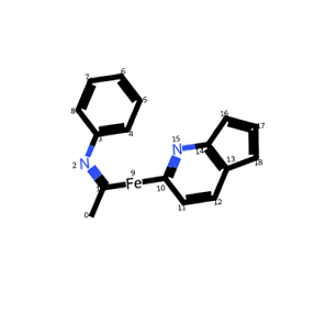 C[C](=Nc1ccccc1)[Fe][c]1ccc2c(n1)C=C=C2